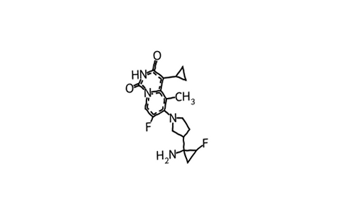 Cc1c(N2CCC(C3(N)CC3F)C2)c(F)cn2c(=O)[nH]c(=O)c(C3CC3)c12